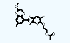 COc1cnc2c(-c3nc4cc(F)c(OCCOC(C)=O)nc4s3)cc(C)cc2n1